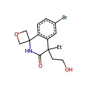 CCC1(CCO)C(=O)NC2(COC2)c2ccc(Br)cc21